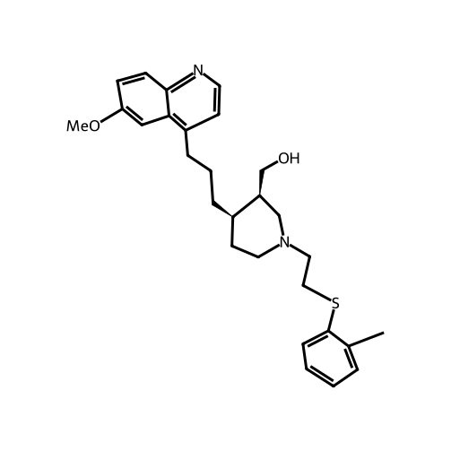 COc1ccc2nccc(CCC[C@@H]3CCN(CCSc4ccccc4C)C[C@@H]3CO)c2c1